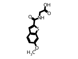 COc1ccc2cc(C(=O)NCC(=O)O)sc2c1